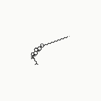 [CH2]CCCCCCCCCCCCCCCOC1CC[C@@]2(C)C(=CCC3C2CC[C@@]2(C)C3CC[C@@H]2[C@H](C)CCCC(C)C)C1